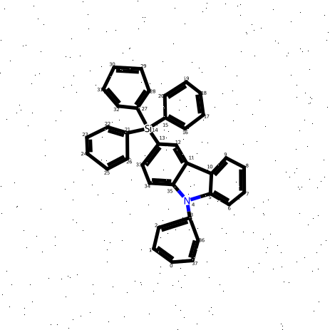 c1ccc(-n2c3ccccc3c3cc([Si](c4ccccc4)(c4ccccc4)c4ccccc4)ccc32)cc1